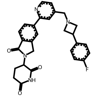 O=C1CCC(N2Cc3cc(-c4cc(CN5CC(c6ccc(F)cc6)C5)ccn4)ccc3C2=O)C(=O)N1